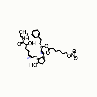 CCNC(=O)C(O)CC/C=C\C[C@H]1[C@@H](O)CC[C@@H]1/C=C/[C@H](CCc1ccccc1)OC(=O)CCCCCO[N+](=O)[O-]